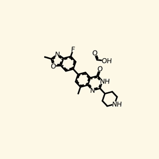 Cc1nc2c(F)cc(-c3cc(C)c4nc(C5CCNCC5)[nH]c(=O)c4c3)cc2o1.O=CO